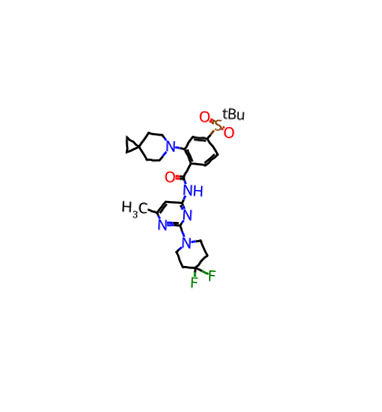 Cc1cc(NC(=O)c2ccc(S(=O)(=O)C(C)(C)C)cc2N2CCC3(CC2)CC3)nc(N2CCC(F)(F)CC2)n1